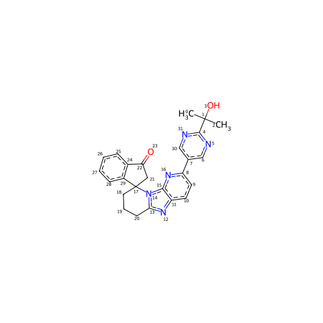 CC(C)(O)c1ncc(-c2ccc3nc4n(c3n2)C2(CCC4)CC(=O)c3ccccc32)cn1